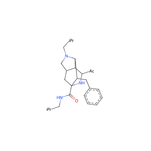 CC(=O)C1NC2(C(=O)NCC(C)C)CC3CN(CC(C)C)C(C31)C2Cc1ccccc1